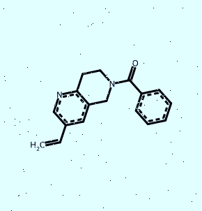 C=Cc1cnc2c(c1)CN(C(=O)c1ccccc1)CC2